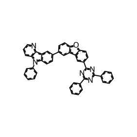 c1ccc(-c2nc(-c3ccccc3)nc(-c3ccc4oc5ccc(-c6ccc7c(c6)c6ncccc6n7-c6ccccc6)cc5c4c3)n2)cc1